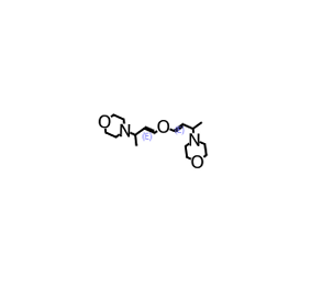 CC(/C=C/O/C=C/C(C)N1CCOCC1)N1CCOCC1